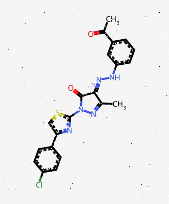 CC(=O)c1cccc(N/N=C2/C(=O)N(c3nc(-c4ccc(Cl)cc4)cs3)N=C2C)c1